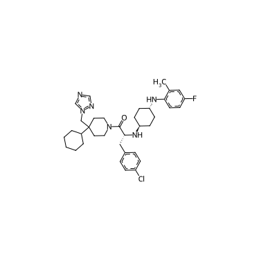 Cc1cc(F)ccc1N[C@H]1CC[C@H](N[C@H](Cc2ccc(Cl)cc2)C(=O)N2CCC(Cn3cncn3)(C3CCCCC3)CC2)CC1